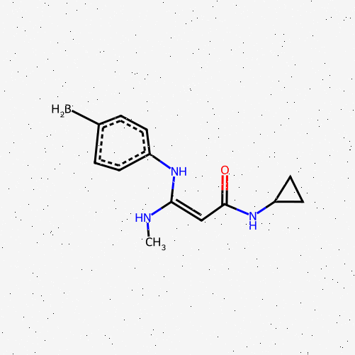 Bc1ccc(N/C(=C\C(=O)NC2CC2)NC)cc1